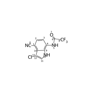 N#Cc1ccc(NC(=O)C(F)(F)F)c2[nH]cc(Cl)c12